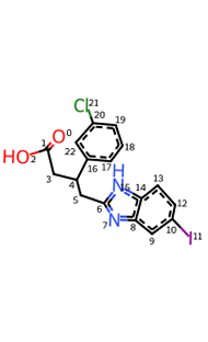 O=C(O)CC(Cc1nc2cc(I)ccc2[nH]1)c1cccc(Cl)c1